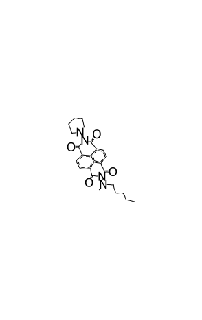 CCCCCN(C)N1C(=O)c2ccc3c4c(ccc(c24)C1=O)C(=O)N(N1CCCCC1)C3=O